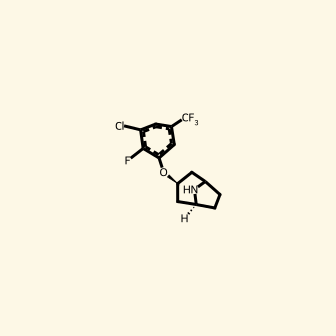 Fc1c(Cl)cc(C(F)(F)F)cc1O[C@H]1CC2CC[C@@H](C1)N2